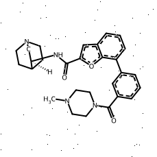 CN1CCN(C(=O)c2cccc(-c3cccc4cc(C(=O)N[C@@H]5CN6CCC5CC6)oc34)c2)CC1